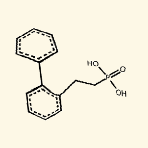 O=P(O)(O)CCc1ccccc1-c1ccccc1